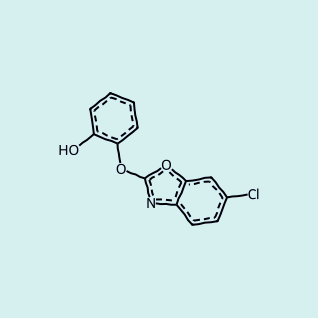 Oc1ccccc1Oc1nc2ccc(Cl)cc2o1